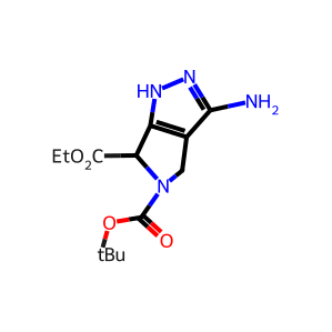 CCOC(=O)C1c2[nH]nc(N)c2CN1C(=O)OC(C)(C)C